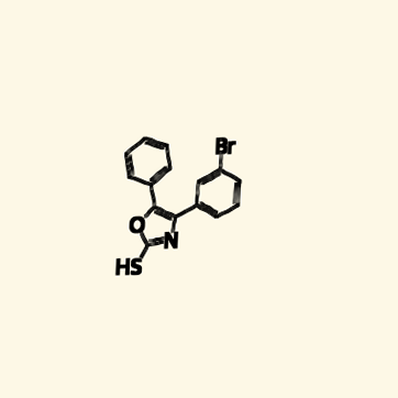 Sc1nc(-c2cccc(Br)c2)c(-c2ccccc2)o1